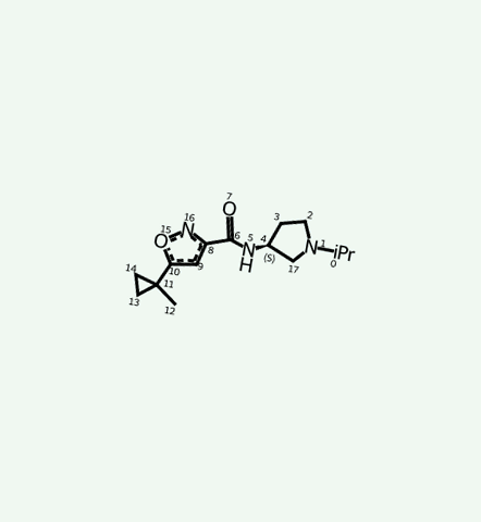 CC(C)N1CC[C@H](NC(=O)c2cc(C3(C)CC3)on2)C1